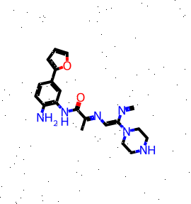 C=N/C(=C\N=C(/C)C(=O)Nc1cc(-c2ccco2)ccc1N)N1CCNCC1